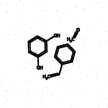 C=Cc1ccccc1.C=O.Oc1cccc(O)c1